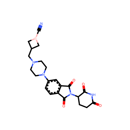 N#CB1CC(CN2CCN(c3ccc4c(c3)C(=O)N(C3CCC(=O)NC3=O)C4=O)CC2)C1